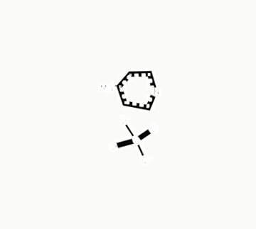 O=S(=O)([O-])[O-].[Mg+2].c1ccncc1